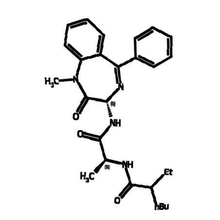 CCCCC(CC)C(=O)N[C@@H](C)C(=O)N[C@H]1N=C(c2ccccc2)c2ccccc2N(C)C1=O